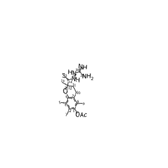 CC(=O)Oc1c(C)c(C)c2c(c1C)CCC(C)(C(=S)NNC(=N)N)O2